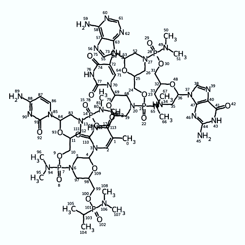 Cc1cn(C2CN(P(=O)(OCC3CN(P(=O)(OCC4CN(P(=O)(OCC5CN(P(=O)(OCC6CNCC(n7cnc8c(=O)[nH]c(N)nc87)O6)N(C)C)CC(n6cnc7c(N)ncnc76)O5)N(C)C)CC(n5cc(C)c(=O)[nH]c5=O)O4)N(C)C)CC(n4ccc(N)nc4=O)O3)N(C)C)CC(COP(=O)(C(C)C)N(C)C)O2)c(=O)[nH]c1=O